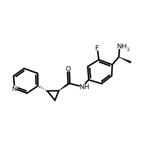 C[C@H](N)c1ccc(NC(=O)[C@H]2C[C@@H]2c2cccnc2)cc1F